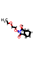 CCOCCON1C(=O)c2ccccc2C1=O